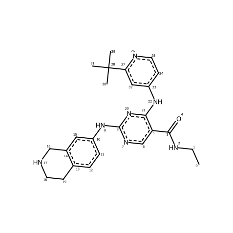 CCNC(=O)c1cnc(Nc2ccc3c(c2)CNCC3)nc1Nc1ccnc(C(C)(C)C)c1